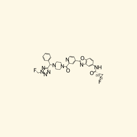 O=C(Nc1ccc2oc(-c3ccnc(C(=O)N4CCN(C(c5ccccc5)c5nnn(CF)n5)CC4)c3)nc2c1)[C@@H]1C[C@@H]1F